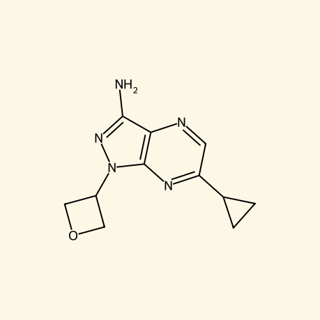 Nc1nn(C2COC2)c2nc(C3CC3)cnc12